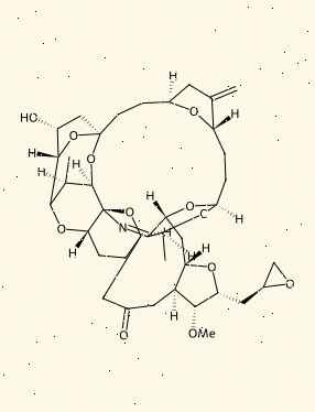 C=C1C[C@@H]2CC[C@]34C[C@@H](O)[C@H](O3)C3O[C@H]5CC[C@@H]6CC(=O)C[C@@H]7[C@@H](OC)[C@@H](C[C@H]8CO8)O[C@H]7C[C@H]7O[C@@H](CC[C@@H]1O2)C[C@@H](C)/C7=N\[C@@]5(O6)[C@H](O4)[C@@H]3C